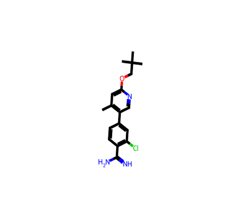 Cc1cc(OCC(C)(C)C)ncc1-c1ccc(C(=N)N)c(Cl)c1